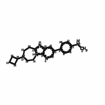 CNc1ccc(-c2cnc3c(c2)nc2n3CCN(C3CCC3)CC2)cc1